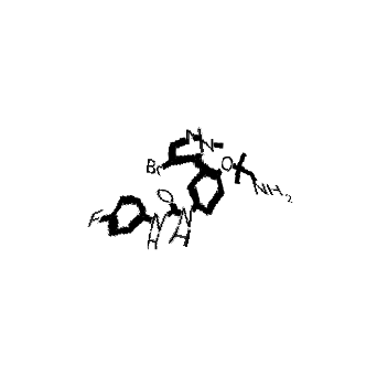 Cn1ncc(Br)c1-c1cc(NC(=O)Nc2ccc(F)cc2)ccc1OC(C)(C)CN